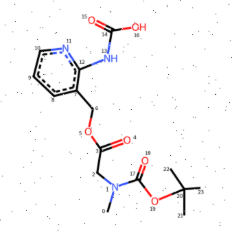 CN(CC(=O)OCc1cccnc1NC(=O)O)C(=O)OC(C)(C)C